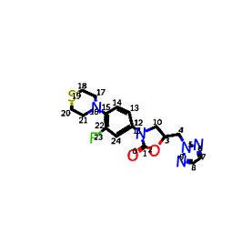 O=C1OC(Cn2nccn2)CN1c1ccc(N2CCSCC2)c(F)c1